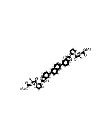 COC(=O)N[C@@H](C)C(=O)N1CCC[C@H]1c1nc2ccc(-c3ccc4cc(-c5ccc6nc([C@@H]7CCCN7C(=O)[C@H](C)NC(=O)OC)[nH]c6c5)ccc4c3)cc2[nH]1